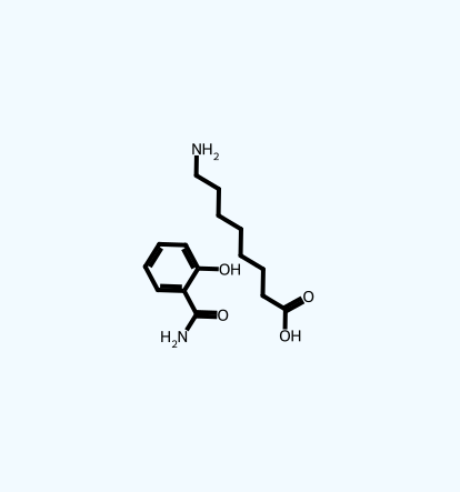 NC(=O)c1ccccc1O.NCCCCCCCC(=O)O